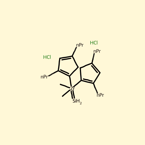 CCCC1=CC(CCC)=[C]([Zr]([CH3])([CH3])(=[SiH2])[C]2=C(CCC)C=C(CCC)C2)C1.Cl.Cl